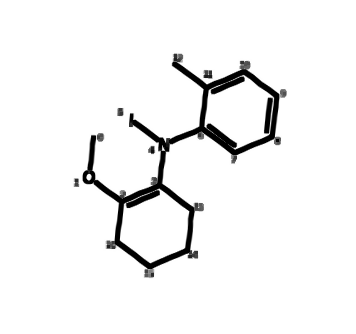 COC1=C(N(I)c2ccccc2C)CCCC1